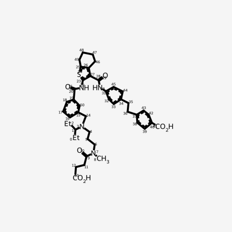 CCC(CC)N(CCCN(C)C(=O)CCC(=O)O)Cc1cccc(C(=O)Nc2sc3c(c2C(=O)Nc2ccc(CCc4ccc(C(=O)O)cc4)cc2)CCCC3)c1